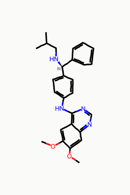 COc1cc2ncnc(Nc3ccc([C@@H](NCC(C)C)c4ccccc4)cc3)c2cc1OC